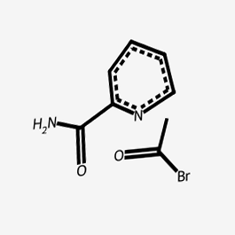 CC(=O)Br.NC(=O)c1ccccn1